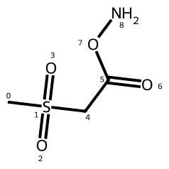 CS(=O)(=O)CC(=O)ON